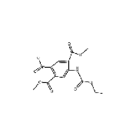 CCOC(=O)Nc1cc(C(=O)OC)c([N+](=O)[O-])cc1C(=O)OC